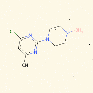 BN1CCN(c2nc(Cl)cc(C#N)n2)CC1